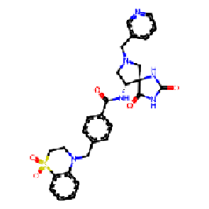 O=C1NC(=O)[C@@]2(CN(Cc3cccnc3)C[C@H]2NC(=O)c2ccc(CN3CCS(=O)(=O)c4ccccc43)cc2)N1